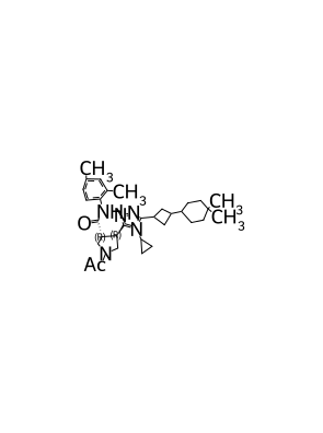 CC(=O)N1C[C@H](C(=O)Nc2ccc(C)cc2C)[C@@H](c2nnc(C3CC(C4CCC(C)(C)CC4)C3)n2C2CC2)C1